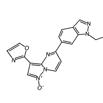 CCn1ncc2ccc(-c3ccn4c(n3)c(-c3ncco3)c[n+]4[O-])cc21